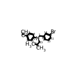 COc1ccc(N(Cc2cccc(Br)c2)CC(C)C)cc1